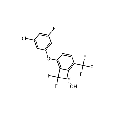 O[C@H]1c2c(C(F)(F)F)ccc(Oc3cc(F)cc(Cl)c3)c2C1(F)F